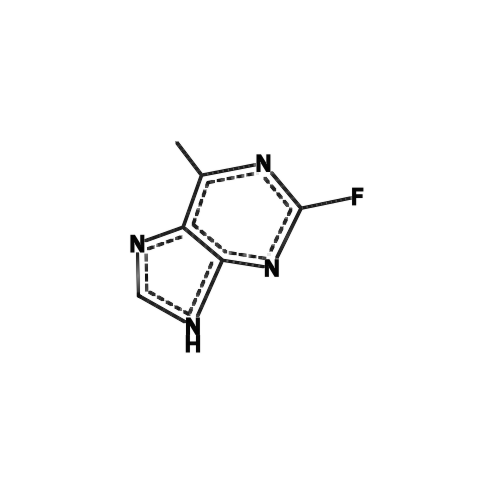 Cc1nc(F)nc2[nH]cnc12